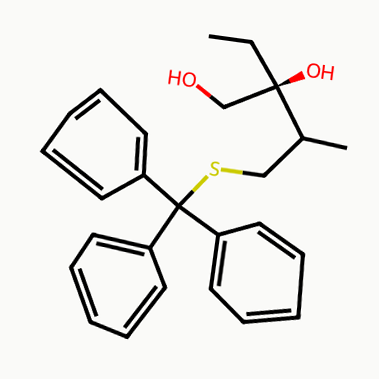 CC[C@@](O)(CO)C(C)CSC(c1ccccc1)(c1ccccc1)c1ccccc1